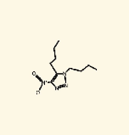 CCCCc1c([N+](=O)[O-])nnn1CCCC